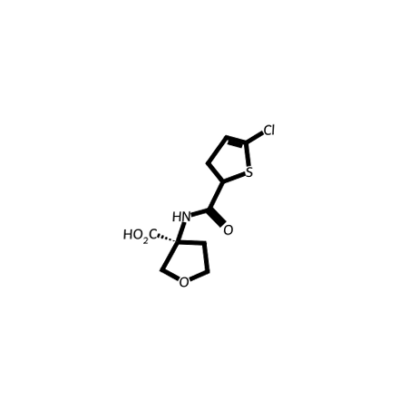 O=C(N[C@@]1(C(=O)O)CCOC1)C1CC=C(Cl)S1